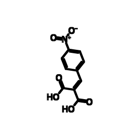 O=C(O)C(=Cc1ccc([N+](=O)[O-])cc1)C(=O)O